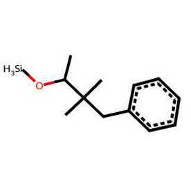 CC(O[SiH3])C(C)(C)Cc1ccccc1